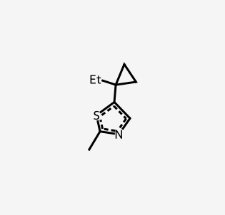 CCC1(c2cnc(C)s2)CC1